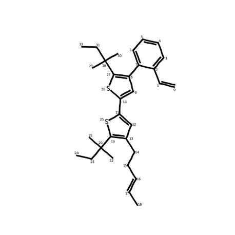 C=Cc1ccccc1-c1cc(-c2cc(CC/C=C/C)c(C(C)(C)CC)s2)sc1C(C)(C)CC